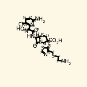 NCCSCc1ncsc1SC1(C(=O)O)CS[C@@H]2[C@H](NC(=O)C(=NO)c3nc(N)ccc3Cl)C(=O)N2C1